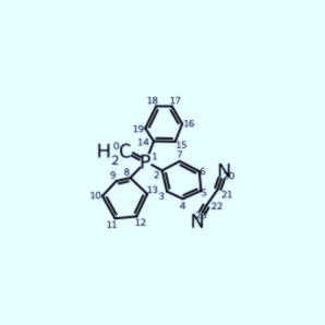 C=P(c1ccccc1)(c1ccccc1)c1ccccc1.N#CC#N